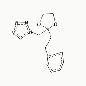 c1ccc(CCC2(Cn3cnnn3)OCCO2)cc1